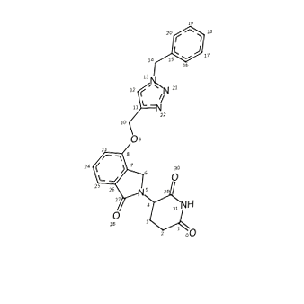 O=C1CCC(N2Cc3c(OCc4cn(Cc5ccccc5)nn4)cccc3C2=O)C(=O)N1